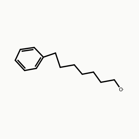 [O]CCCCCCCc1ccccc1